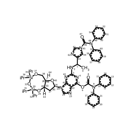 CC(Nc1nc(OC(=O)N(c2ccccc2)c2ccccc2)c2ncn([C@H]3C[C@@H]4O[Si](C(C)C)(C(C)C)O[Si](C(C)C)(C(C)C)OC[C@H]4O3)c2n1)c1cn(C(=O)N(c2ccccc2)c2ccccc2)cn1